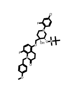 COc1ccc(CN2C(=O)CCc3c(OC[C@@]4(O)CCN(c5ccc(Cl)cc5F)C[C@@H]4O[Si](C)(C)C(C)(C)C)ccc(F)c32)cc1